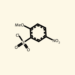 COc1ccc([N+](=O)[O-])cc1S(=O)(=O)Cl